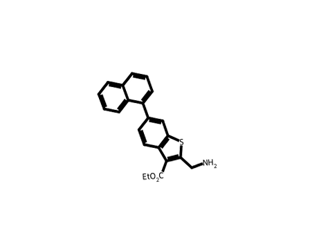 CCOC(=O)c1c(CN)sc2cc(-c3cccc4ccccc34)ccc12